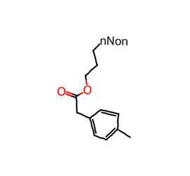 CCCCCCCCCCCCOC(=O)Cc1ccc(C)cc1